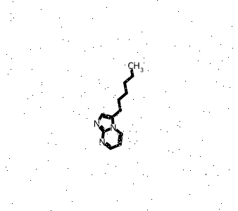 CCCCCCc1cnc2ncccn12